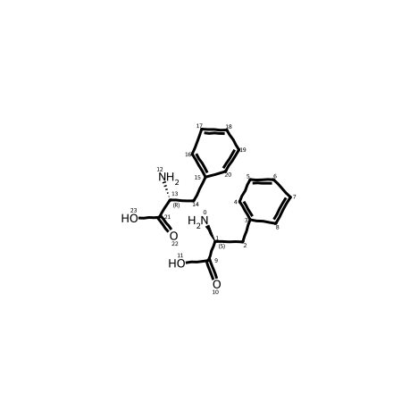 N[C@@H](Cc1ccccc1)C(=O)O.N[C@H](Cc1ccccc1)C(=O)O